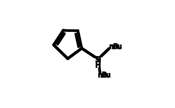 CCCC[SiH](CCCC)C1=CC=CC1